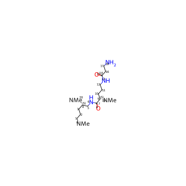 CNCCC[C@@H](CNC(=O)[C@H](CCCNC(=O)CCN)NC)NC